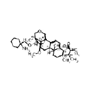 CO[C@@H]1C[C@@]23COC[C@@](C)([C@@H]2CC[C@H]2C3=CC[C@@]3(C)[C@H](C(=O)O)[C@@](C)([C@H](C)C(C)C)CC[C@]23C)[C@H]1OCC1(N)CCCCC1